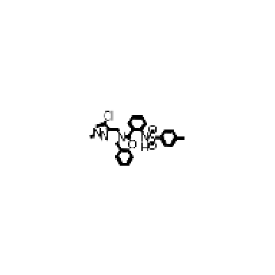 Cc1ccc(S(=O)(=O)Nc2ccccc2C(=O)N(Cc2ccccc2)Cc2nn(C)cc2Cl)cc1